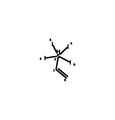 C=C[SH](I)(I)(I)I